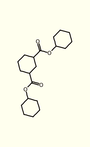 O=C(OC1CCCCC1)C1CCCC(C(=O)OC2CCCCC2)C1